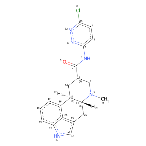 CN1C[C@@H](C(=O)Nc2ccc(Cl)nn2)C[C@@H]2c3cccc4[nH]cc(c34)C[C@H]21